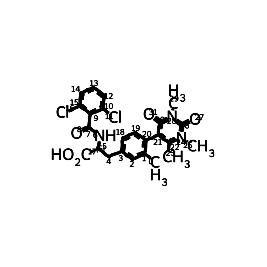 Cc1cc(C[C@H](NC(=O)c2c(Cl)cccc2Cl)C(=O)O)ccc1-c1c(C)n(C)c(=O)n(C)c1=O